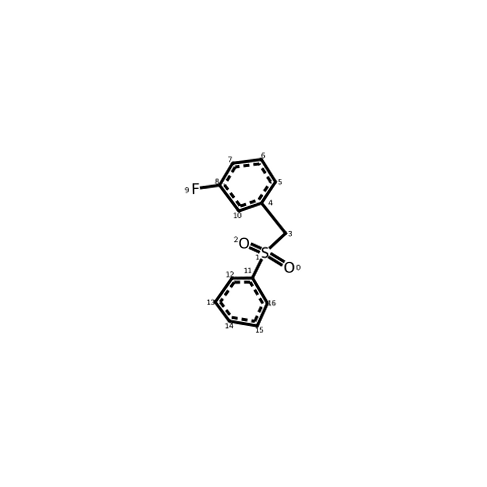 O=S(=O)(Cc1cccc(F)c1)c1ccccc1